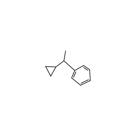 CC(c1ccccc1)C1CC1